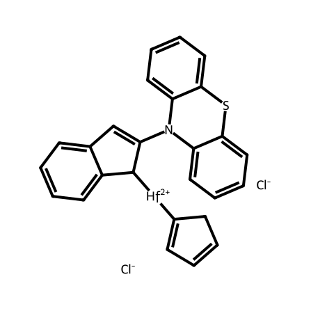 C1=CC[C]([Hf+2][CH]2C(N3c4ccccc4Sc4ccccc43)=Cc3ccccc32)=C1.[Cl-].[Cl-]